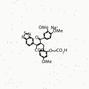 COc1ccc(CC(C(=O)c2ccc(OC)c(OC)c2)=C(C(=O)[O-])c2ccc3nsnc3c2)c(OCC(=O)O)c1.[Na+]